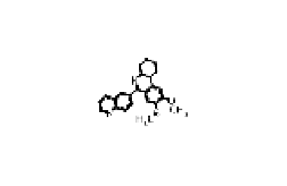 COc1cc2c(cc1OC)C1CCCCC1N=C2c1ccc2ncccc2c1